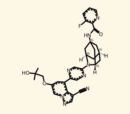 CC(C)(O)COc1cc(-c2cnc(N3[C@@H]4C[C@@H]5C[C@H]3C[C@@](NC(=O)c3ncccc3F)(C5)C4)cn2)c2c(C#N)cnn2c1